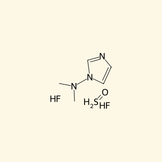 CN(C)n1ccnc1.F.F.O=[SH2]